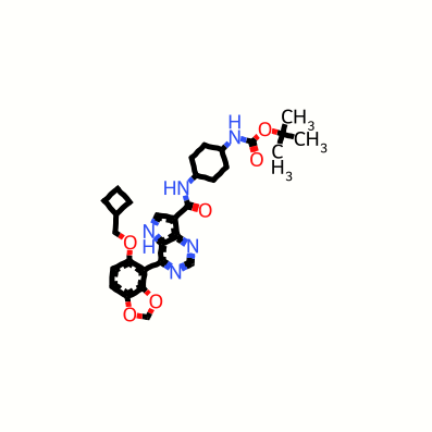 CC(C)(C)OC(=O)NC1CCC(NC(=O)c2c[nH]c3c(-c4c(OCC5CCC5)ccc5c4OCO5)ncnc23)CC1